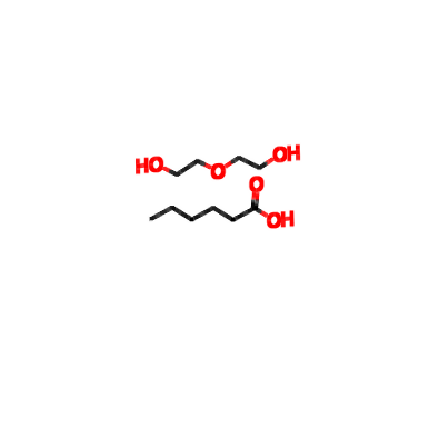 CCCCCC(=O)O.OCCOCCO